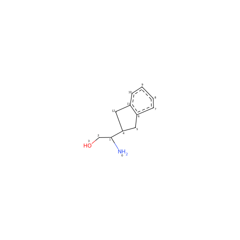 NC(CO)C1Cc2ccccc2C1